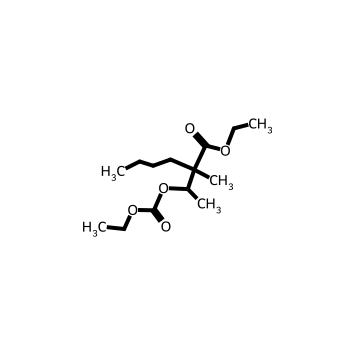 CCCCC(C)(C(=O)OCC)C(C)OC(=O)OCC